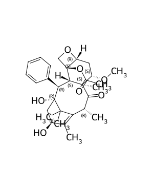 CO[C@H]1C[C@H]2OC[C@@]2(OC(C)=O)[C@H]2[C@H](c3ccccc3)[C@]3(O)C[C@H](O)C(C)=C([C@@H](C)C(=O)[C@]12C)C3(C)C